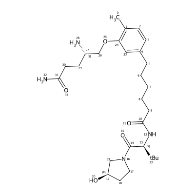 Cc1ccc(CCCCCC(=O)N[C@H](C(=O)N2CC[C@@H](O)C2)C(C)(C)C)cc1OC[C@@H](N)CCC(N)=O